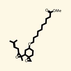 COC(=O)CCCCCCCCCOC1CCC2(CO2)C(C2(C)OC2CC=C(C)C)C1